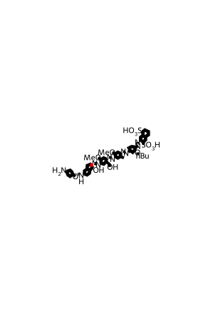 CCCCOc1cc(N=Nc2cc(OC)c(N=Nc3cc(OC)c(N=Nc4ccc5cc(NCOc6ccc(N)cc6)ccc5c4O)cc3CO)cc2C)ccc1N=Nc1cc2c(S(=O)(=O)O)cccc2cc1S(=O)(=O)O